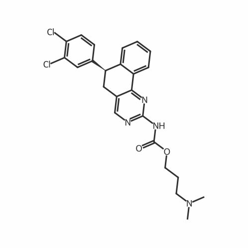 CN(C)CCCOC(=O)Nc1ncc2c(n1)-c1ccccc1[C@H](c1ccc(Cl)c(Cl)c1)C2